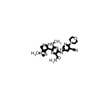 CNc1nc(Nc2cnc(N3CCOCC3)c(C#N)c2)c(C(N)=O)nc1-c1cncc2c1ncn2C